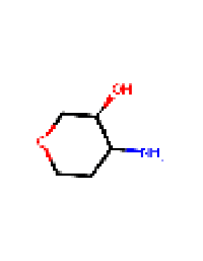 NC1CCOC[C@H]1O